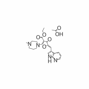 CC(=O)O.CCOC(=O)C1=C(N2CCCN(C)CC2)OC(=Cc2c[nH]c3ncccc23)C1=O